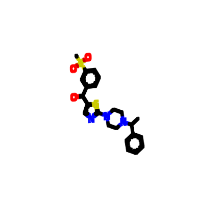 CC(c1ccccc1)N1CCN(c2ncc(C(=O)c3cccc(S(C)(=O)=O)c3)s2)CC1